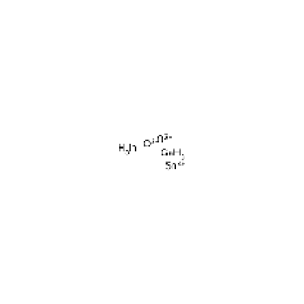 [GaH3].[InH3].[O-2].[O-2].[Sn+4]